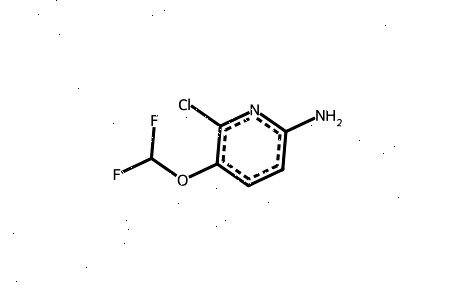 Nc1ccc(OC(F)F)c(Cl)n1